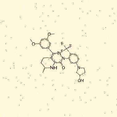 COc1cc(OC)cc(-c2nn(-c3cc(N4CCC(O)C4)ccc3C(F)(F)F)c(=O)c3c2CCC(C)N3)c1